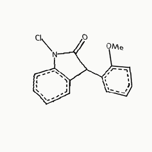 COc1ccccc1C1C(=O)N(Cl)c2ccccc21